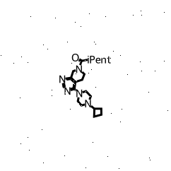 CCCC(C)C(=O)N1CCc2c(ncnc2N2CCN(C3CCC3)CC2)C1